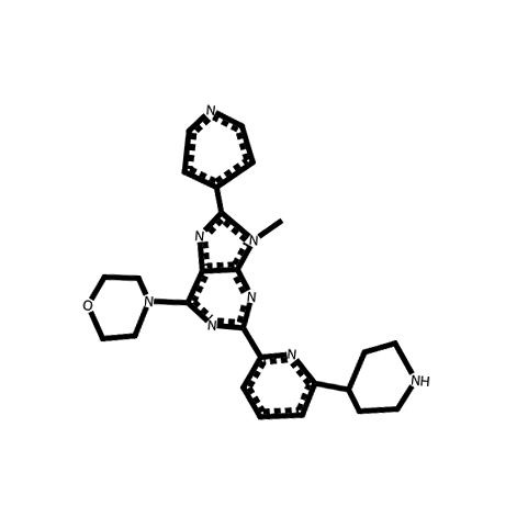 Cn1c(-c2ccncc2)nc2c(N3CCOCC3)nc(-c3cccc(C4CCNCC4)n3)nc21